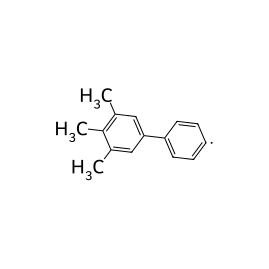 Cc1cc(-c2cc[c]cc2)cc(C)c1C